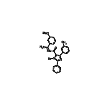 CCn1c(-c2ccccc2)nc(-c2cccc(C)c2)c1C(=O)N[C@@H](C)c1cccc(OC)c1